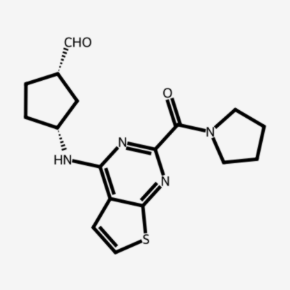 O=C[C@H]1CC[C@@H](Nc2nc(C(=O)N3CCCC3)nc3sccc23)C1